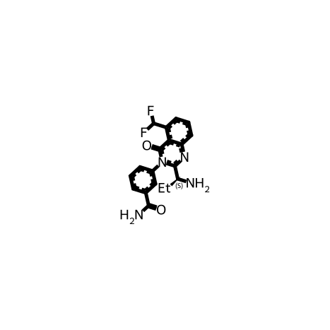 CC[C@H](N)c1nc2cccc(C(F)F)c2c(=O)n1-c1cccc(C(N)=O)c1